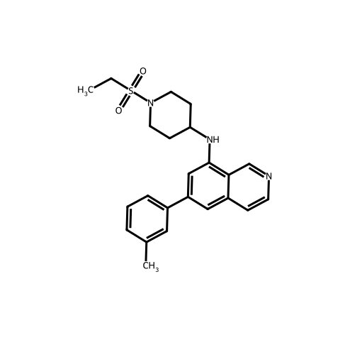 CCS(=O)(=O)N1CCC(Nc2cc(-c3cccc(C)c3)cc3ccncc23)CC1